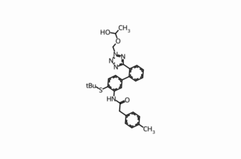 Cc1ccc(CC(=O)Nc2cc(-c3ccccc3-c3nnn(COC(C)O)n3)ccc2SC(C)(C)C)cc1